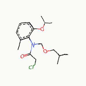 Cc1cccc(OC(C)C)c1N(COCC(C)C)C(=O)CCl